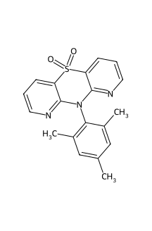 Cc1cc(C)c(N2c3ncccc3S(=O)(=O)c3cccnc32)c(C)c1